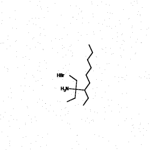 Br.CCCCCCC(CC)C(N)(CC)CC